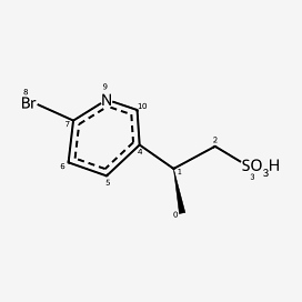 C[C@H](CS(=O)(=O)O)c1ccc(Br)nc1